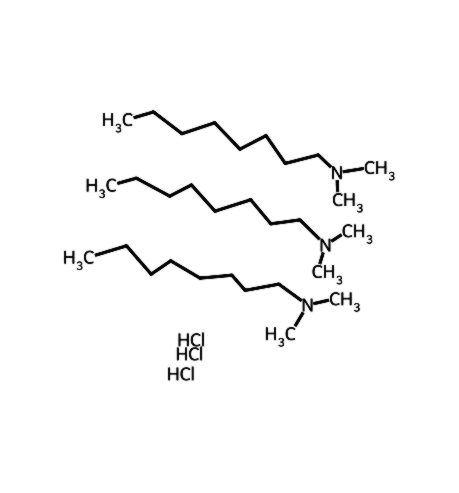 CCCCCCCCN(C)C.CCCCCCCCN(C)C.CCCCCCCCN(C)C.Cl.Cl.Cl